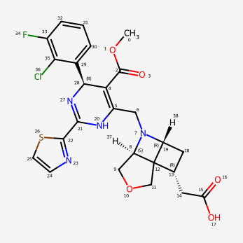 COC(=O)C1=C(CN2[C@@H]3COCC34[C@@H](CC(=O)O)C[C@@H]24)NC(c2nccs2)=N[C@H]1c1cccc(F)c1Cl